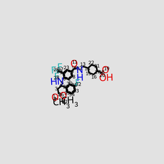 COCCC(Nc1ccc(C(=O)NCC2CCC(C(=O)O)CC2)cc1C(F)(F)F)c1cc(F)ccc1OC